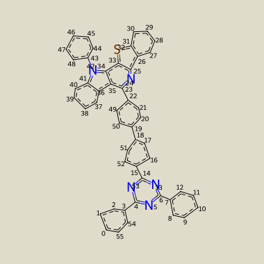 c1ccc(-c2nc(-c3ccccc3)nc(-c3ccc(-c4ccc(-c5nc6c7ccccc7sc6c6c5c5ccccc5n6-c5ccccc5)cc4)cc3)n2)cc1